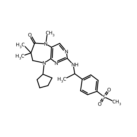 CC(Nc1ncc2c(n1)N(C1CCCC1)CC(C)(C)C(=O)N2C)c1ccc(S(C)(=O)=O)cc1